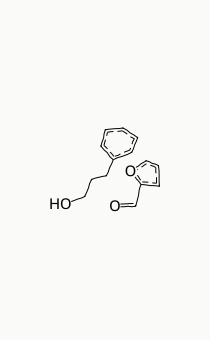 O=Cc1ccco1.OCCCc1ccccc1